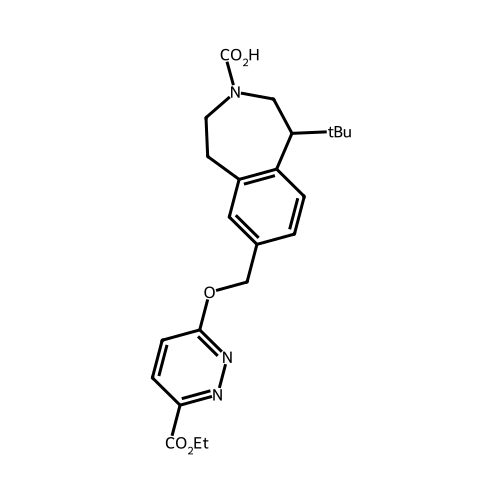 CCOC(=O)c1ccc(OCc2ccc3c(c2)CCN(C(=O)O)CC3C(C)(C)C)nn1